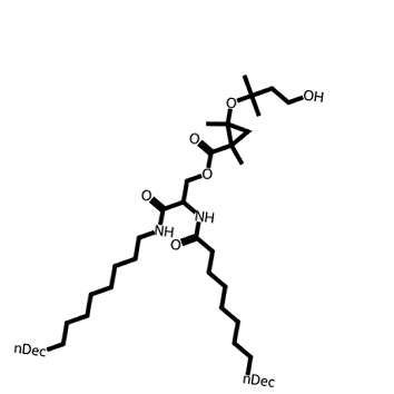 CCCCCCCCCCCCCCCCCCNC(=O)C(COC(=O)C1(C)CC1(C)OC(C)(C)CCO)NC(=O)CCCCCCCCCCCCCCCCC